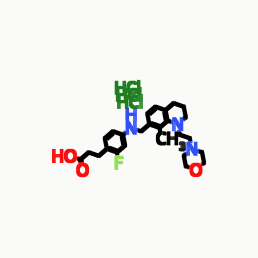 Cc1c(CNc2ccc(CCC(=O)O)c(F)c2)ccc2c1N(CCN1CCOCC1)CCC2.Cl.Cl.Cl